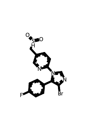 O=[SH](=O)Cc1ccc(-n2cnc(Br)c2-c2ccc(F)cc2)nc1